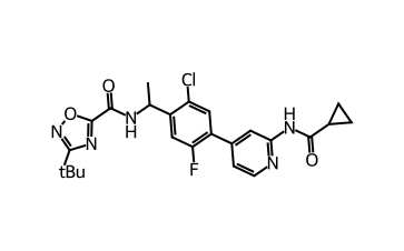 CC(NC(=O)c1nc(C(C)(C)C)no1)c1cc(F)c(-c2ccnc(NC(=O)C3CC3)c2)cc1Cl